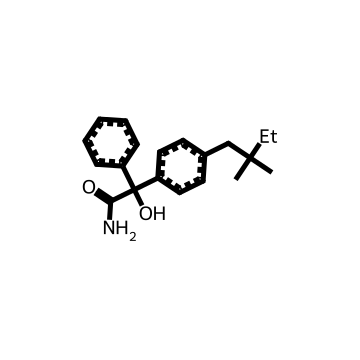 CCC(C)(C)Cc1ccc(C(O)(C(N)=O)c2ccccc2)cc1